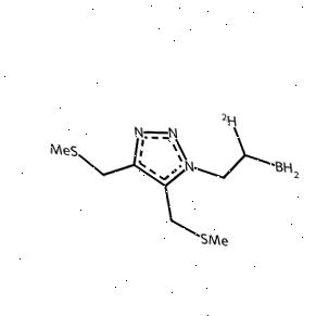 [2H]C(B)Cn1nnc(CSC)c1CSC